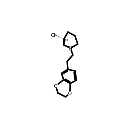 Cl[C@@H]1CCCN(CCc2ccc3c(c2)OCCO3)C1